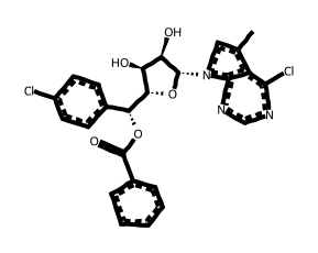 Cc1cn([C@@H]2O[C@H]([C@H](OC(=O)c3ccccc3)c3ccc(Cl)cc3)[C@@H](O)[C@H]2O)c2ncnc(Cl)c12